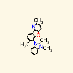 Cc1ccc2oc3c(N4c5ccccc5N(C)[C@@H]4C)c(C)ccc3c2n1